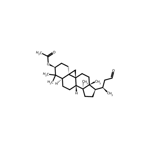 CC(=O)O[C@H]1CC[C@]23C[C@]24CC[C@]2(C)[C@@H]([C@H](C)CC=O)CC[C@@]2(C)[C@@H]4CC[C@H]3C1(C)C